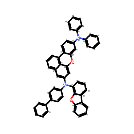 c1ccc(-c2ccc(N(c3cc4c5c(cccc5c3)-c3ccc(N(c5ccccc5)c5ccccc5)cc3O4)c3cccc4c3oc3ccccc34)cc2)cc1